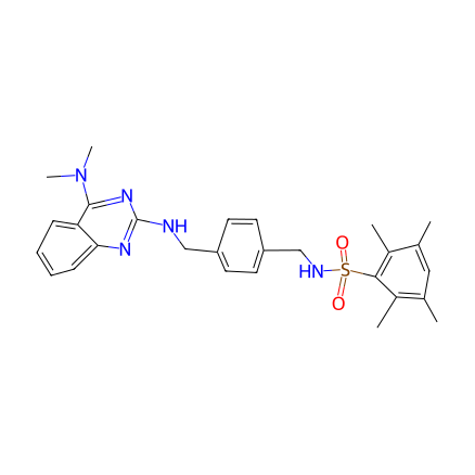 Cc1cc(C)c(C)c(S(=O)(=O)NCc2ccc(CNc3nc(N(C)C)c4ccccc4n3)cc2)c1C